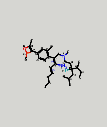 CCC/C=C/C(N)=C(/CN(C)CCC(F)(CC(C)C)C(C)CC)c1ccc(-c2c(C)op2C)cc1C